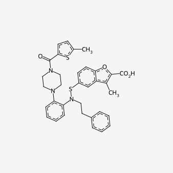 Cc1ccc(C(=O)N2CCN(c3ccccc3N(CCc3ccccc3)Sc3ccc4oc(C(=O)O)c(C)c4c3)CC2)s1